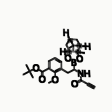 C#CC(=O)NC(Cc1cccc(C(=O)OC(C)(C)C)c1OC)B1O[C@@H]2C[C@@H]3C[C@@H](C3(C)C)[C@]2(C)O1